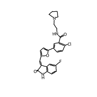 O=C1Nc2ccc(F)cc2/C1=C\c1ccc(-c2ccc(Cl)c(C(=O)NCCN3CCCC3)c2)o1